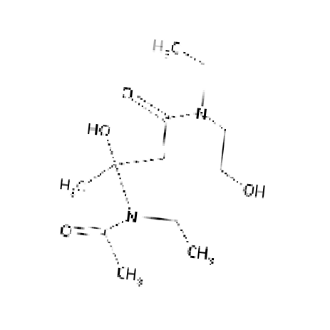 CCN(CCO)C(=O)CC(C)(O)N(CC)C(C)=O